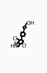 OCC1CC(c2ccc(-c3cc(Cl)c4c[nH]nc4c3Cl)cc2)C1